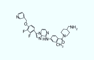 Cc1cc(Nc2nccn3c(-c4ccc(OCc5cccnc5)c(F)c4F)cnc23)ccc1C(=O)N1CCC(CN)CC1